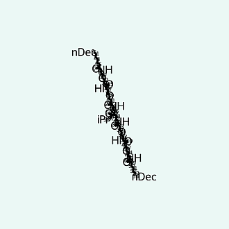 CCCCCCCCCCCCCCCC(=O)NCCOCCC(=O)NCCOCCC(=O)NCCN(CCNC(=O)CCOCCNC(=O)CCOCCNC(=O)CCCCCCCCCCCCCCC)C(=O)CC(C)C